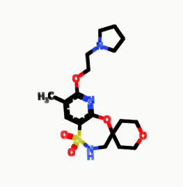 Cc1cc2c(nc1OCCN1CCCC1)OC1(CCOCC1)CNS2(=O)=O